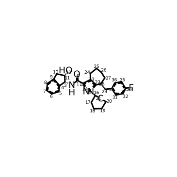 O=C(N[C@@H]1c2ccccc2C[C@@H]1O)c1nn(C2CCCCC2)c2c1CCCC[C@H]2Cc1ccc(F)cc1